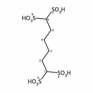 O=S(=O)(O)C(CCCCC(S(=O)(=O)O)S(=O)(=O)O)S(=O)(=O)O